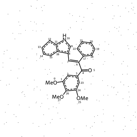 COc1cc(C(=O)/C(=C/c2c[nH]c3ccccc23)c2ccccc2)cc(OC)c1OC